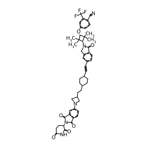 CC1(C)[C@H](Oc2ccc(C#N)c(C(F)(F)F)c2)C(C)(C)[C@H]1N1Cc2cc(C#CC3CCC(CCC4CN(c5ccc6c(c5)C(=O)N(C5CCC(=O)NC5=O)C6=O)C4)CC3)ccc2C1=O